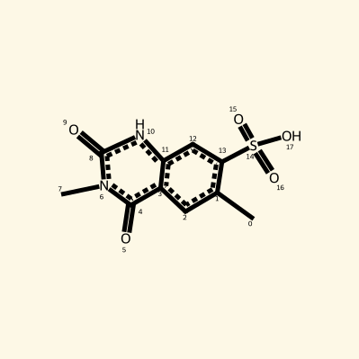 Cc1cc2c(=O)n(C)c(=O)[nH]c2cc1S(=O)(=O)O